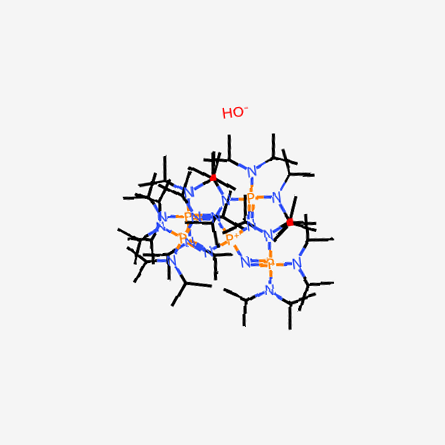 CC(C)N(C(C)C)P(=N[P+](N=P(N(C(C)C)C(C)C)(N(C(C)C)C(C)C)N(C(C)C)C(C)C)(N=P(N(C(C)C)C(C)C)(N(C(C)C)C(C)C)N(C(C)C)C(C)C)N=P(N(C(C)C)C(C)C)(N(C(C)C)C(C)C)N(C(C)C)C(C)C)(N(C(C)C)C(C)C)N(C(C)C)C(C)C.[OH-]